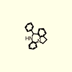 c1ccc(C2Nc3ccccc3N3CCc4cccc2c43)cc1